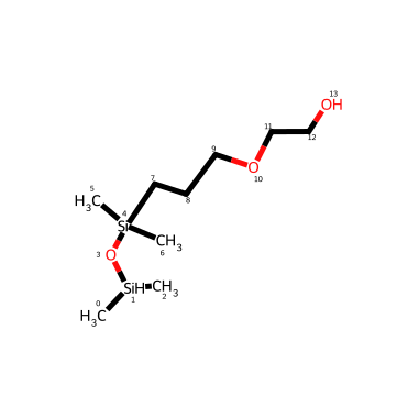 C[SiH](C)O[Si](C)(C)CCCOCCO